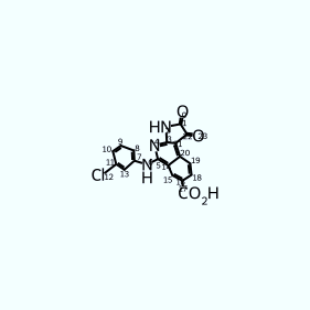 O=C1Nc2nc(Nc3cccc(Cl)c3)c3cc(C(=O)O)ccc3c2C1=O